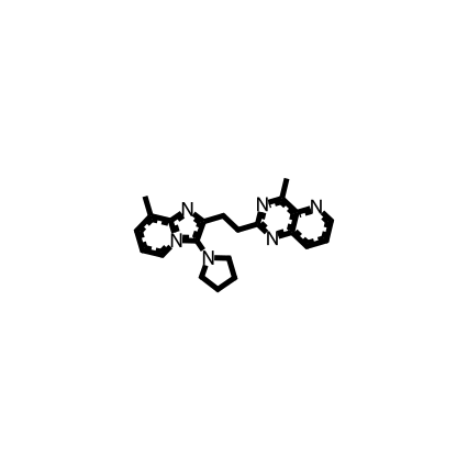 Cc1nc(CCc2nc3c(C)cccn3c2N2CCCC2)nc2cccnc12